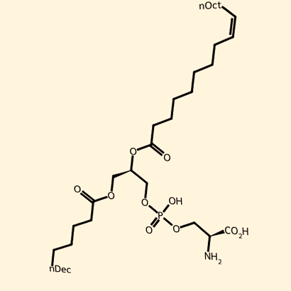 CCCCCCCC/C=C\CCCCCCCC(=O)O[C@H](COC(=O)CCCCCCCCCCCCCC)COP(=O)(O)OC[C@H](N)C(=O)O